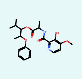 COc1ccnc(C(=O)NC(C)C(=O)OC(C(C)C)C(C)Oc2ccccc2)c1O